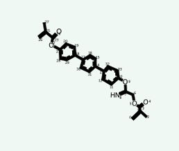 C=C(C)C(=O)OCC(=N)Oc1ccc(-c2ccc(-c3ccc(OC(=O)C(=C)C)cc3)cc2)cc1